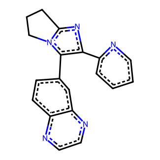 c1ccc(-c2nc3n(c2-c2ccc4nccnc4c2)CCC3)nc1